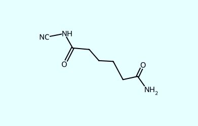 N#CNC(=O)CCCCC(N)=O